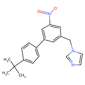 CC(C)(C)c1ccc(-c2cc(Cn3ccnc3)cc([N+](=O)[O-])c2)cc1